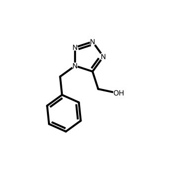 OCc1nnnn1Cc1ccccc1